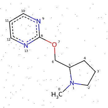 CN1CCCC1COc1ncccn1